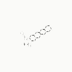 O=C=Nc1cc2cc3cc4ccccc4cc3cc2cc1N=C=O